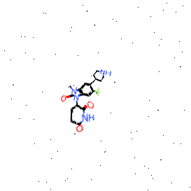 Cn1c(=O)n(C2CCC(=O)NC2=O)c2cc(F)c(C3CCNCC3)cc21